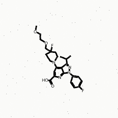 COCCOCC1(F)CCN(c2cc(C(=O)O)nc3c2c(C(C)C)nn3-c2ccc(F)cc2)CC1